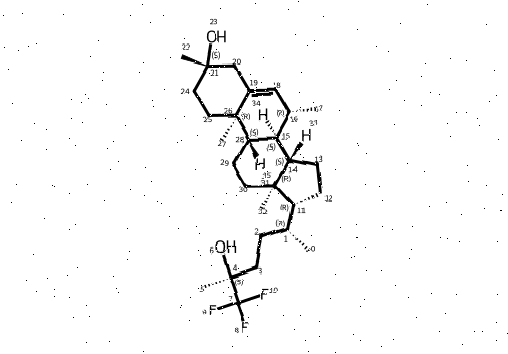 C[C@H](CC[C@](C)(O)C(F)(F)F)[C@H]1CC[C@H]2[C@@H]3[C@@H](C)C=C4C[C@@](C)(O)CC[C@]4(C)[C@H]3CC[C@]12C